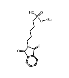 CCC(C)OP(=O)(O)CCCCCN1C(=O)c2ccccc2C1=O